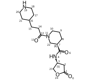 O=C1C[C@H](NC(=O)[C@@H]2CCCN(C(=O)CCC3CCNCC3)C2)CO1